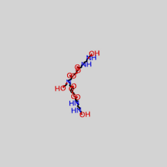 O=C(CCNCCCNCCO)OCCCOC(=O)CCN(CCCO)CCC(=O)OCCCOC(=O)CCNCCCNCCO